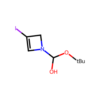 CC(C)(C)OC(O)N1C=C(I)C1